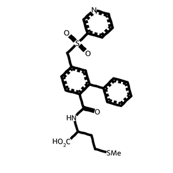 CSCCC(NC(=O)c1ccc(CS(=O)(=O)c2cccnc2)cc1-c1ccccc1)C(=O)O